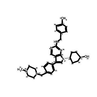 Cc1ccc(CNc2ncc3c(-c4ccc(CN5CCN(C)CC5)cc4)cn([C@H]4CC[C@H](O)CC4)c3n2)cc1